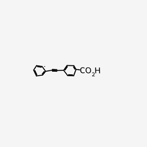 O=C(O)c1ccc(C#Cc2[c]cccc2)cc1